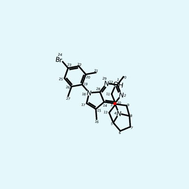 Cc1nc(N2C3CCC2CC(CO)C3)c2c(C)cn(-c3c(C)cc(Br)cc3C)c2n1